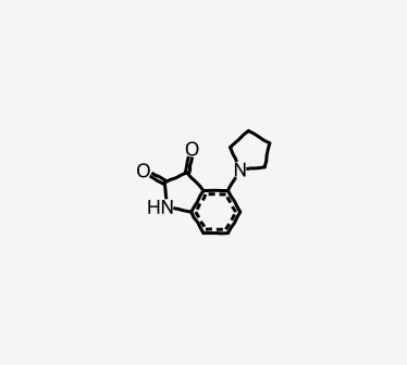 O=C1Nc2cccc(N3CCCC3)c2C1=O